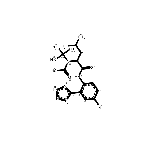 CC(C)CC(C(=O)Nc1ccc(Br)cc1-c1nn[nH]n1)N(C(=O)O)C(C)(C)C